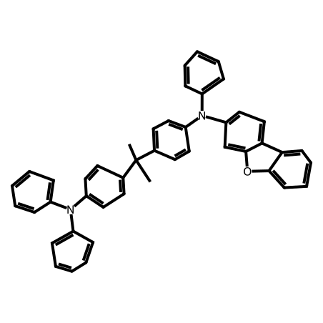 CC(C)(c1ccc(N(c2ccccc2)c2ccccc2)cc1)c1ccc(N(c2ccccc2)c2ccc3c(c2)oc2ccccc23)cc1